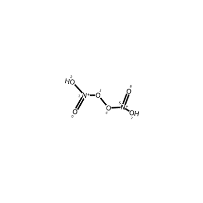 O=[N+](O)OO[N+](=O)O